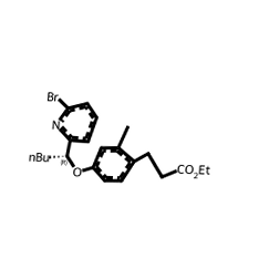 CCCC[C@@H](Oc1ccc(CCC(=O)OCC)c(C)c1)c1cccc(Br)n1